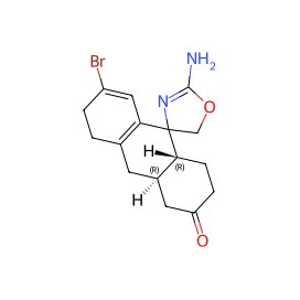 NC1=NC2(CO1)C1=C(CCC(Br)=C1)C[C@@H]1CC(=O)CC[C@H]12